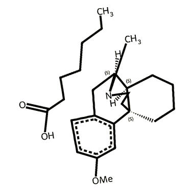 CCCCCCC(=O)O.COc1ccc2c(c1)[C@]13CCCC[C@@H]1[C@H](C2)N(C)CC3